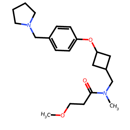 COCCC(=O)N(C)CC1CC(Oc2ccc(CN3CCCC3)cc2)C1